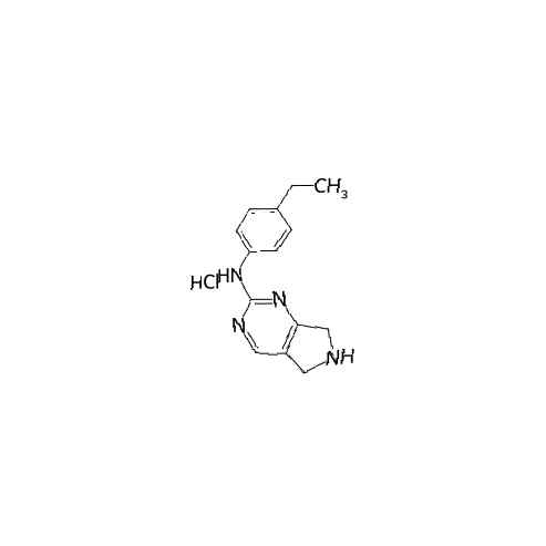 CCc1ccc(Nc2ncc3c(n2)CNC3)cc1.Cl